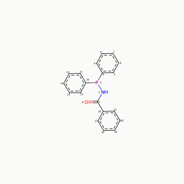 O=C(NP(c1ccccc1)c1ccccc1)c1ccccc1